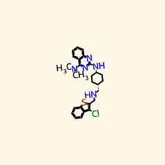 CN(C)c1nc(N[C@H]2CC[C@@H](CNCc3sc4ccccc4c3Cl)CC2)nc2ccccc12